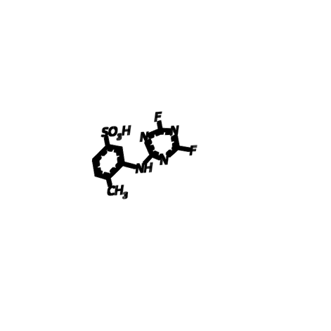 Cc1ccc(S(=O)(=O)O)cc1Nc1nc(F)nc(F)n1